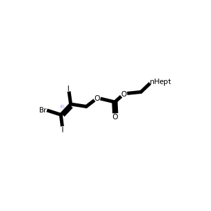 CCCCCCCCOC(=O)OC/C(I)=C(/Br)I